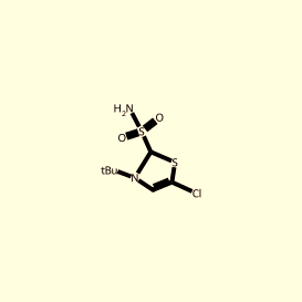 CC(C)(C)N1C=C(Cl)SC1S(N)(=O)=O